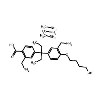 CCC(CC)(c1ccc(OCCCCO)c(CN)c1)c1ccc(C(=O)O)c(CN)c1.CN.CN.CN